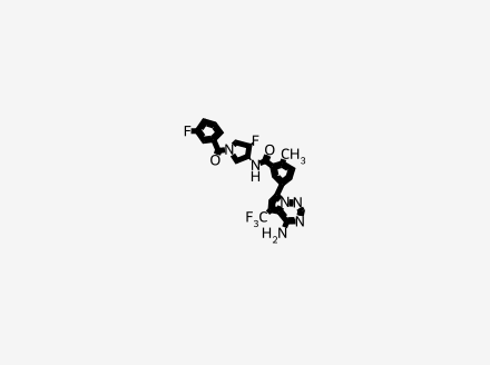 Cc1ccc(-c2cc(C(F)(F)F)c3c(N)ncnn23)cc1C(=O)N[C@@H]1CN(C(=O)c2cccc(F)c2)C[C@@H]1F